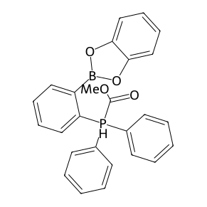 COC(=O)[PH](c1ccccc1)(c1ccccc1)c1ccccc1B1Oc2ccccc2O1